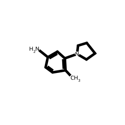 Cc1ccc(N)cc1N1CCCC1